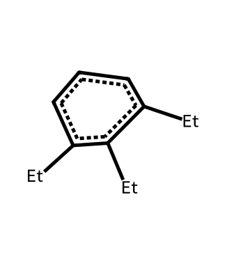 [CH2]Cc1c(CC)cccc1CC